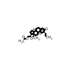 CCC[C@H]1C[C@H]2C(=CC1=O)CC[C@@H]1[C@@H]2CC[C@]2(CC)[C@@H](C(=O)COC(C)=O)CC[C@@H]12